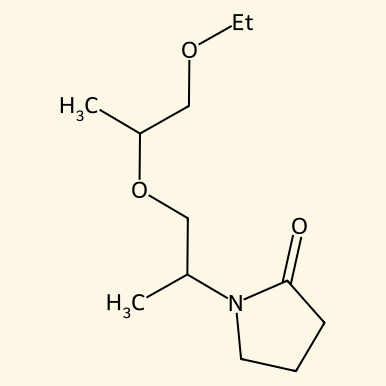 CCOCC(C)OCC(C)N1CCCC1=O